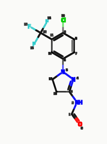 O=CNC1=NN(c2ccc(Cl)c(C(F)(F)F)c2)CC1